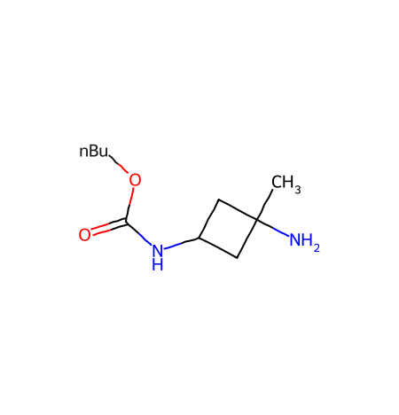 CCCCOC(=O)NC1CC(C)(N)C1